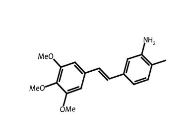 COc1cc(C=Cc2ccc(C)c(N)c2)cc(OC)c1OC